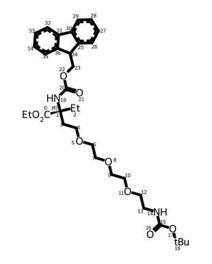 CCOC(=O)[C@@](CC)(CCOCCOCCOCCNC(=O)OC(C)(C)C)NC(=O)OCC1c2ccccc2-c2ccccc21